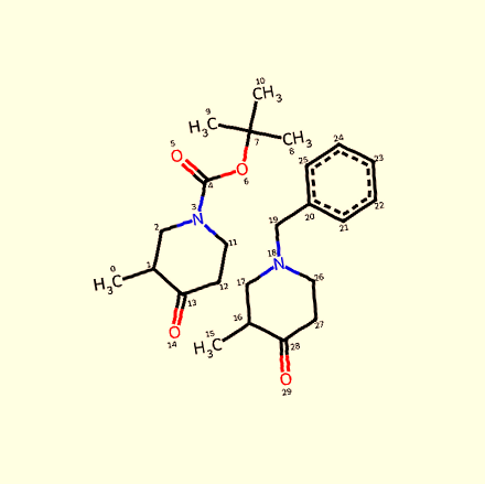 CC1CN(C(=O)OC(C)(C)C)CCC1=O.CC1CN(Cc2ccccc2)CCC1=O